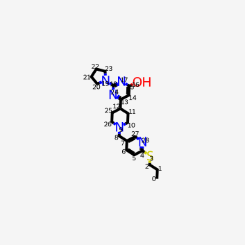 CCCSc1ccc(CN2CCC(c3cc(O)nc(N4CCCC4)n3)CC2)cn1